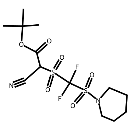 CC(C)(C)OC(=O)C(C#N)S(=O)(=O)C(F)(F)S(=O)(=O)N1CCCCC1